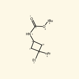 CCCC1(CC)CC(NC(=O)OC(C)(C)C)C1